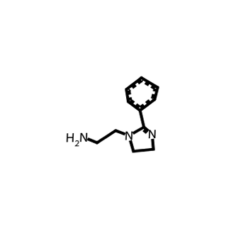 NCCN1CCN=C1c1ccccc1